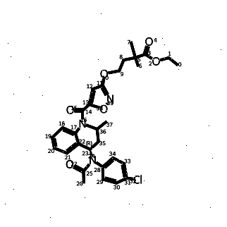 CCOC(=O)C(C)(C)CCOc1cc(C(=O)N2c3ccccc3[C@H](N(C(C)=O)c3ccc(Cl)cc3)CC2C)on1